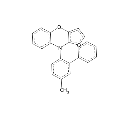 Cc1ccc(N2c3ccccc3Oc3ccoc32)c(-c2ccccc2)c1